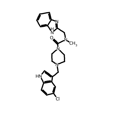 CN(Cc1nc2ccccc2[nH]1)C(=O)N1CCN(Cc2c[nH]c3ccc(Cl)cc23)CC1